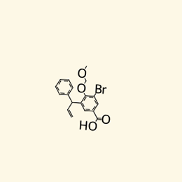 C=CC(c1ccccc1)c1cc(C(=O)O)cc(Br)c1OCOC